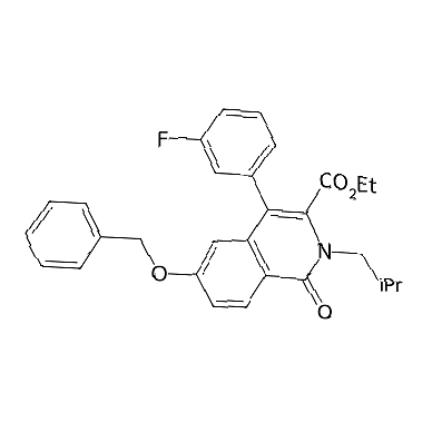 CCOC(=O)c1c(-c2cccc(F)c2)c2cc(OCc3ccccc3)ccc2c(=O)n1CC(C)C